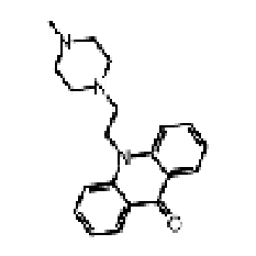 CN1CCN(CCn2c3ccccc3c(=O)c3ccccc32)CC1